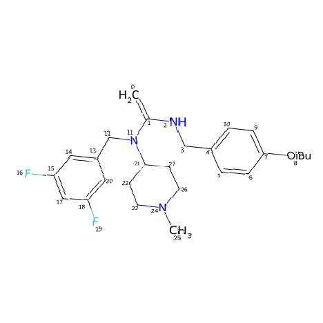 C=C(NCc1ccc(OCC(C)C)cc1)N(Cc1cc(F)cc(F)c1)C1CCN(C)CC1